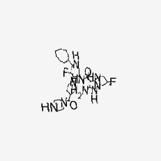 NC1NN2CC(F)CNC2C1C(=O)NC1CNC(C2CCCCCCC2)C(F)C1N1CCC(C(=O)N2CCNCC2)CC1